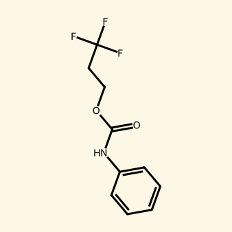 O=C(Nc1ccccc1)OCCC(F)(F)F